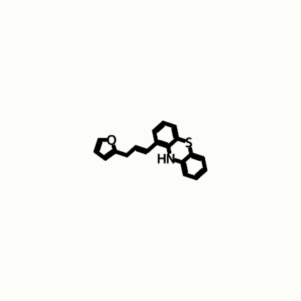 C(=Cc1cccc2c1Nc1ccccc1S2)Cc1ccco1